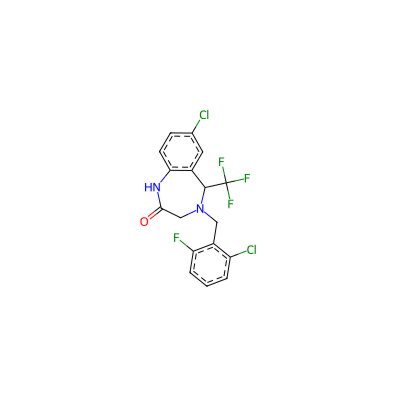 O=C1CN(Cc2c(F)cccc2Cl)C(C(F)(F)F)c2cc(Cl)ccc2N1